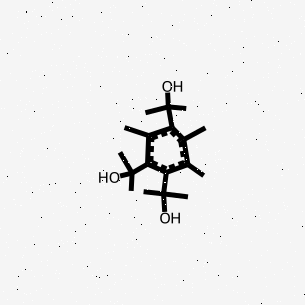 Cc1c(C)c(C(C)(C)O)c(C(C)(C)O)c(C)c1C(C)(C)O